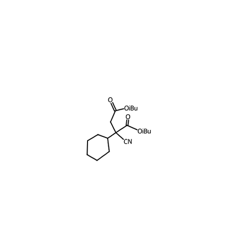 CC(C)COC(=O)CC(C#N)(C(=O)OCC(C)C)C1CCCCC1